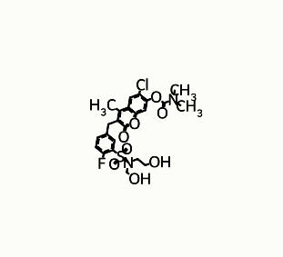 Cc1c(Cc2ccc(F)c(S(=O)(=O)N(CO)CCO)c2)c(=O)oc2cc(OC(=O)N(C)C)c(Cl)cc12